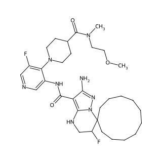 COCCN(C)C(=O)C1CCN(c2c(F)cncc2NC(=O)c2c(N)nn3c2NCC(F)C32CCCCCCCCCC2)CC1